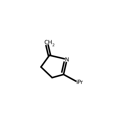 C=C1CCC(C(C)C)=N1